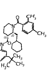 Cc1ccc(C(=O)N2CCC[C@H](C(=O)Nc3cccc(C(C)(C)C)c3)[C@@H]2CC2CCCCC2)c(C)c1